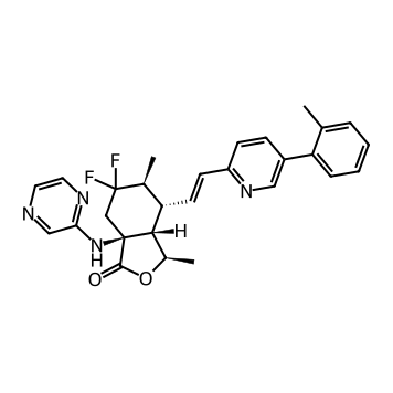 Cc1ccccc1-c1ccc(/C=C/[C@@H]2[C@@H]3[C@@H](C)OC(=O)[C@]3(Nc3cnccn3)CC(F)(F)[C@H]2C)nc1